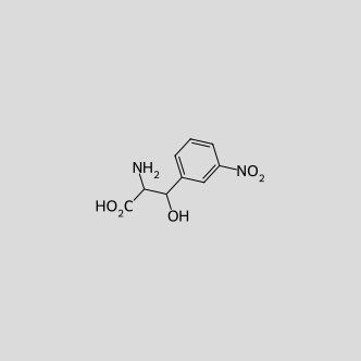 NC(C(=O)O)C(O)c1cccc([N+](=O)[O-])c1